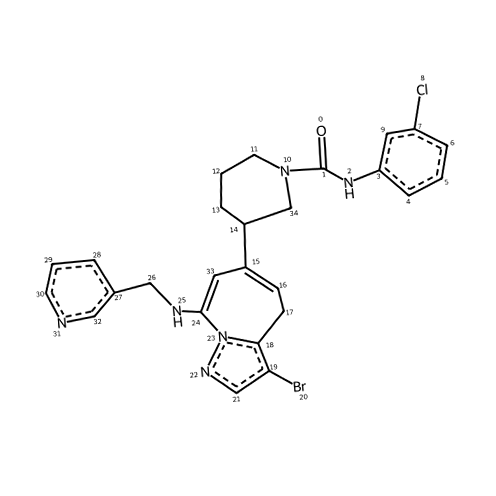 O=C(Nc1cccc(Cl)c1)N1CCCC(C2=CCc3c(Br)cnn3C(NCc3cccnc3)=C2)C1